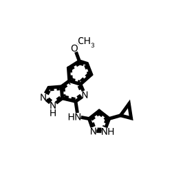 COc1ccc2nc(Nc3cc(C4CC4)[nH]n3)c3[nH]ncc3c2c1